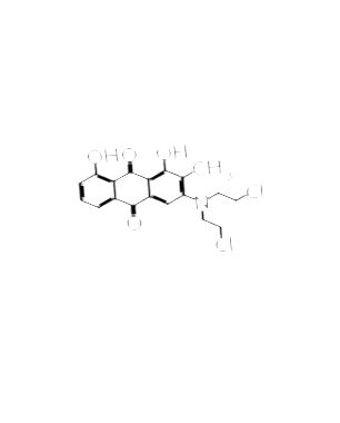 Cc1c(N(CCCl)CCCl)cc2c(c1O)C(=O)c1c(O)cccc1C2=O